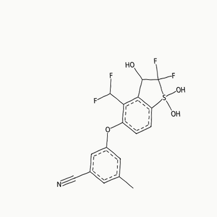 Cc1cc(C#N)cc(Oc2ccc3c(c2C(F)F)C(O)C(F)(F)S3(O)O)c1